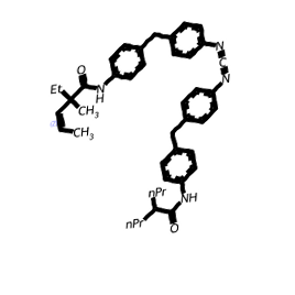 C/C=C\C(C)(CC)C(=O)Nc1ccc(Cc2ccc(N=C=Nc3ccc(Cc4ccc(NC(=O)C(CCC)CCC)cc4)cc3)cc2)cc1